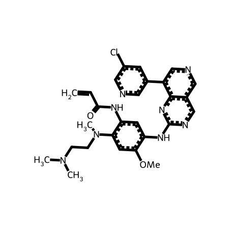 C=CC(=O)Nc1cc(Nc2ncc3cncc(-c4cncc(Cl)c4)c3n2)c(OC)cc1N(C)CCN(C)C